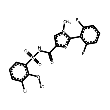 CCOc1c(Cl)cccc1S(=O)(=O)NC(=O)c1cn(C)c(-c2c(F)cccc2F)n1